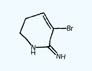 N=C1NCCC=C1Br